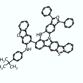 CC(C)(C)c1ccc(Nc2cc3oc4ccccc4c3cc2-c2ccc3c4cc5sc6ccccc6c5cc4n4c3c2Bc2cc3c(-c5ccccc5)oc(-c5ccccc5)c3cc2-4)cc1